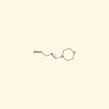 CCCCCC/N=C/N1CCOCC1